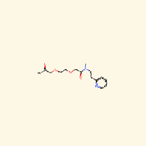 CC(C)C(=O)COCCOCC(=O)N(C)CCc1ccccn1